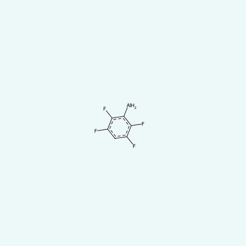 Fc1cc(F)c(F)[c]([AlH2])c1F